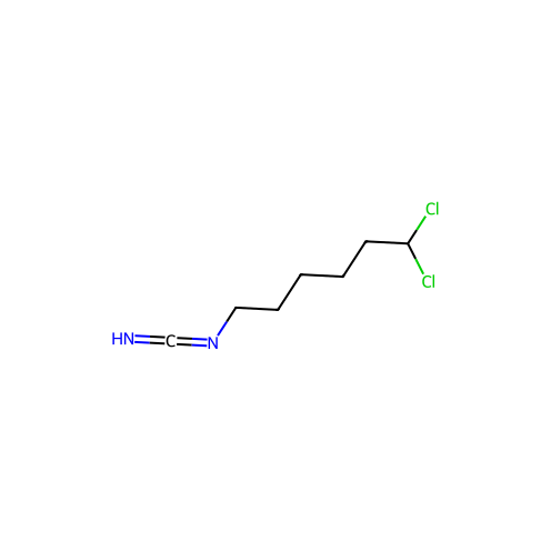 N=C=NCCCCCC(Cl)Cl